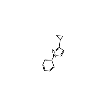 [c]1cc(C2CC2)nn1-c1ccccc1